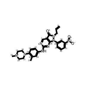 C=CCn1c(=O)c2cnc(Nc3ccc(N4CCN(C)CC4)c(C)c3)nc2n1-c1cccc([N+](=O)[O-])c1